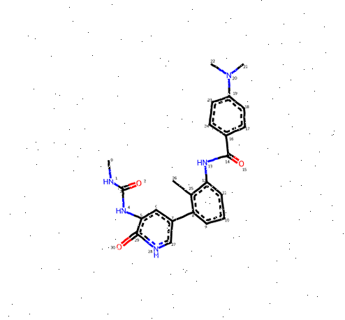 CNC(=O)Nc1cc(-c2cccc(NC(=O)c3ccc(N(C)C)cc3)c2C)c[nH]c1=O